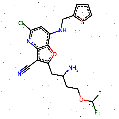 N#Cc1c(C[C@@H](N)CCOC(F)F)oc2c(NCc3cccs3)cc(Cl)nc12